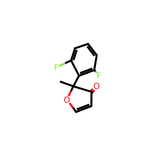 CC1(c2c(F)cccc2F)OC=CC1=O